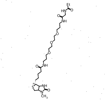 CCC(=O)NCC(=O)NCCCOCCOCCOCCCNC(=O)CCCC[C@H]1SCC2C1NC(=O)N2C